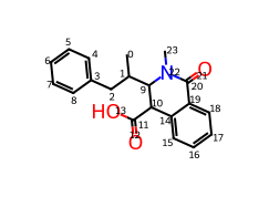 CC(Cc1ccccc1)C1C(C(=O)O)c2ccccc2C(=O)N1C